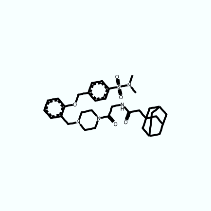 CN(C)S(=O)(=O)c1ccc(COc2ccccc2CN2CCN(C(=O)CNC(=O)CC34CC5CC(CC(C5)C3)C4)CC2)cc1